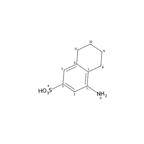 Nc1cc(S(=O)(=O)O)cc2c1CCCC2